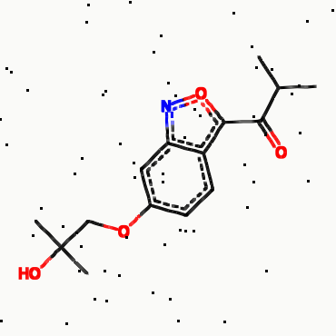 CC(C)C(=O)c1onc2cc(OCC(C)(C)O)ccc12